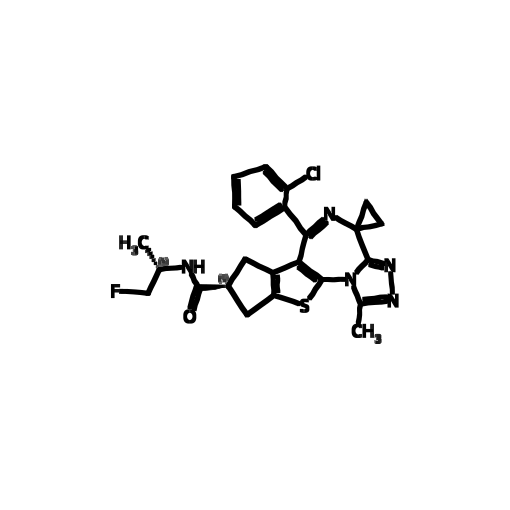 Cc1nnc2n1-c1sc3c(c1C(c1ccccc1Cl)=NC21CC1)C[C@H](C(=O)N[C@@H](C)CF)C3